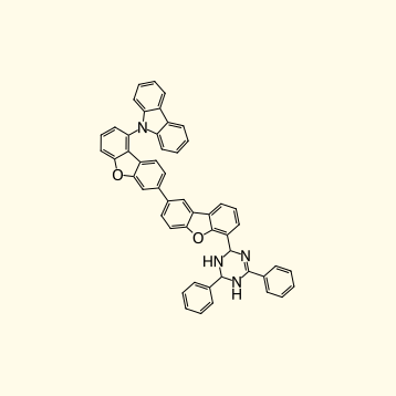 c1ccc(C2=NC(c3cccc4c3oc3ccc(-c5ccc6c(c5)oc5cccc(-n7c8ccccc8c8ccccc87)c56)cc34)NC(c3ccccc3)N2)cc1